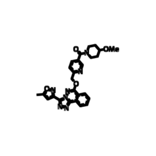 COC1CCN(C(=O)c2ccc(COc3nn4c(-c5cc(C)on5)nnc4c4ccccc34)nc2)CC1